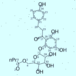 CCCC(=O)OCC1OC(Oc2cc(O)cc(O)c2C(=O)CCc2ccc(O)cc2)C(O)C(O)C1O